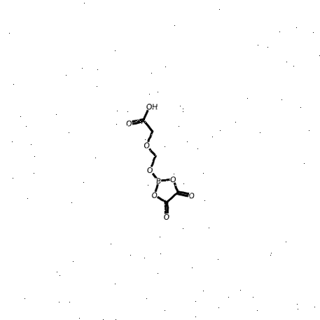 O=C(O)COCOB1OC(=O)C(=O)O1